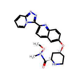 CON(C)C(=O)[C@@H]1C[C@@H](Oc2ccc3nc(-c4nnc5ccccn45)ccc3c2)CCN1